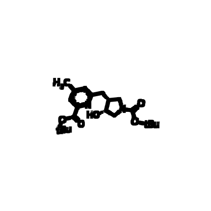 Cc1cc(C[C@H]2CN(C(=O)OC(C)(C)C)C[C@@H]2O)nc(C(=O)OC(C)(C)C)c1